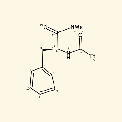 CCC(=O)N[C@@H](Cc1ccccc1)C(=O)NC